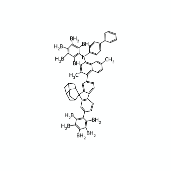 Bc1c(B)c(B)c(-c2ccc3c(c2)C2(c4cc(-c5c(C)cc(N(c6ccc(-c7ccccc7)cc6)c6c(B)c(B)c(B)c(B)c6B)c6cc(C)ccc56)ccc4-3)C3CC4CC(C3)CC2C4)c(B)c1B